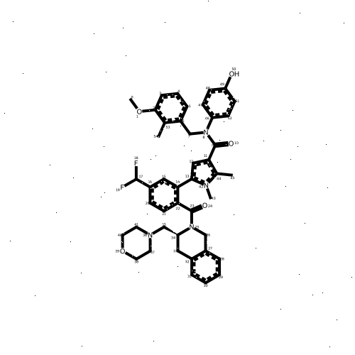 COc1cccc(CN(C(=O)c2cc(-c3cc(C(F)F)ccc3C(=O)N3Cc4ccccc4C[C@H]3CN3CCOCC3)n(C)c2C)c2ccc(O)cc2)c1C